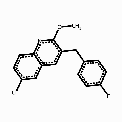 COc1nc2ccc(Cl)cc2cc1Cc1ccc(F)cc1